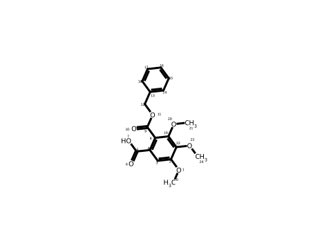 COc1cc(C(=O)O)c(C(=O)OCc2ccccc2)c(OC)c1OC